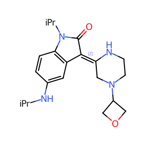 CC(C)Nc1ccc2c(c1)/C(=C1\CN(C3COC3)CCN1)C(=O)N2C(C)C